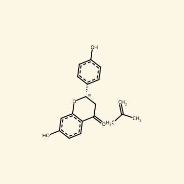 C=C(C)C.O=C1C[C@@H](c2ccc(O)cc2)Oc2cc(O)ccc21